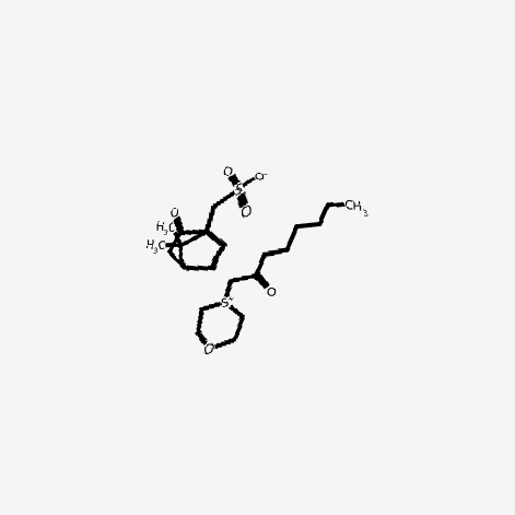 CC1(C)C2CCC1(CS(=O)(=O)[O-])C(=O)C2.CCCCCCC(=O)C[S+]1CCOCC1